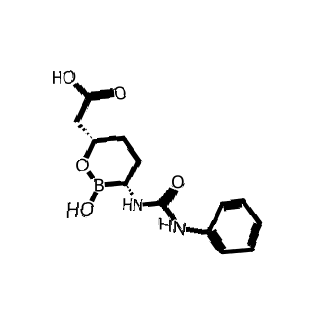 O=C(O)C[C@@H]1CC[C@H](NC(=O)Nc2ccccc2)B(O)O1